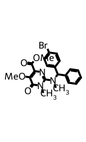 COC(=O)c1nc(N(C)C(c2ccccc2)c2ccc(Br)cc2)n(C)c(=O)c1OC